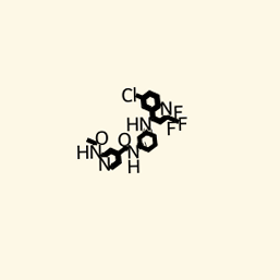 CC(=O)Nc1cc(C(=O)N[C@@H]2CCC[C@H](Nc3cc(C(F)(F)F)nc4ccc(Cl)cc34)C2)ccn1